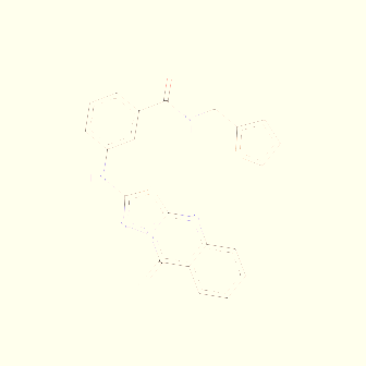 O=C(NCc1cccs1)c1cccc(Nc2nn3c(=O)c4ccccc4nc3s2)c1